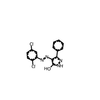 Oc1[nH]nc(-c2ccccc2)c1N=Nc1cc(Cl)ccc1Cl